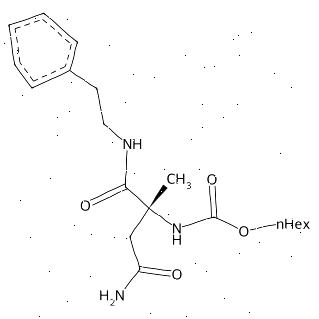 CCCCCCOC(=O)N[C@](C)(CC(N)=O)C(=O)NCCc1ccccc1